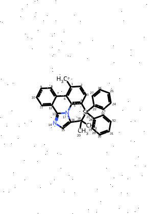 Cc1ccc2c3c1c1ccccc1c1ncc(n13)C(C)(C)[Si]2(c1ccccc1)c1ccccc1